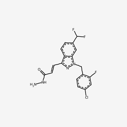 NNC(=O)/C=C/c1nn(Cc2ccc(Cl)cc2F)c2cc(C(F)F)ccc12